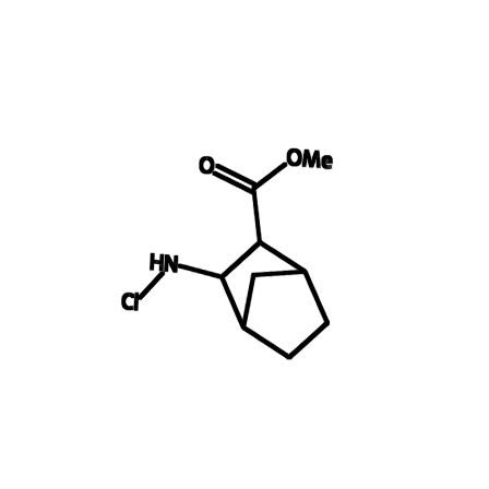 COC(=O)C1C2CCC(C2)C1NCl